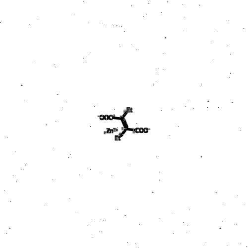 CCC(C(=O)[O-])=C(CC)C(=O)[O-].[Zn+2]